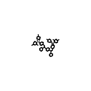 Cc1ccc(N(c2ccc(C=C(c3ccccc3)c3ccc(C(=Cc4ccc(N(c5ccc(C)cc5)c5ccc(C)cc5C)cc4)c4ccccc4)cc3)cc2)c2ccc(C)cc2C)cc1